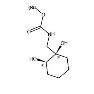 CC(C)(C)OC(=O)NC[C@]1(O)CCCC[C@H]1O